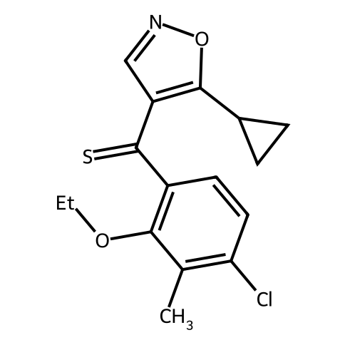 CCOc1c(C(=S)c2cnoc2C2CC2)ccc(Cl)c1C